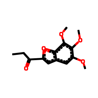 CCC(=O)c1cc2cc(OC)c(OC)c(OC)c2o1